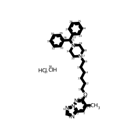 Cc1cc2ncnn2nc1OCCCCCCN1CCN(C(c2ccccc2)c2ccccc2)CC1.Cl.Cl